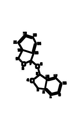 C1=C=C2COC(OC3OCC4C=C=CC=C43)C2=CC=1